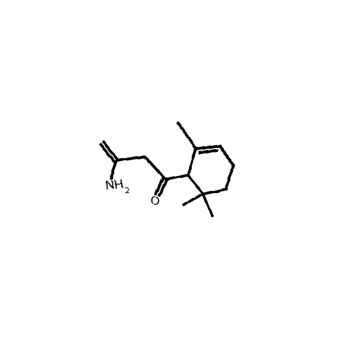 C=C(N)CC(=O)C1C(C)=CCCC1(C)C